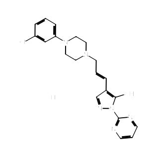 Cc1c(/C=C/CN2CCN(c3cccc(Cl)c3)CC2)cnn1-c1ncccn1.Cl